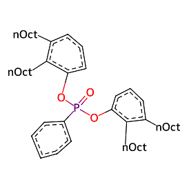 CCCCCCCCc1cccc(OP(=O)(Oc2cccc(CCCCCCCC)c2CCCCCCCC)c2ccccc2)c1CCCCCCCC